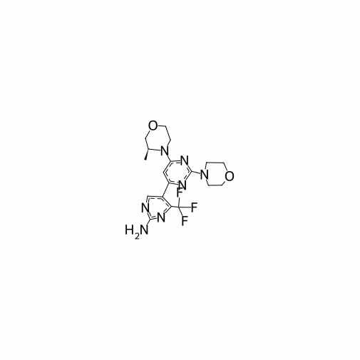 C[C@H]1COCCN1c1cc(-c2cnc(N)nc2C(F)(F)F)nc(N2CCOCC2)n1